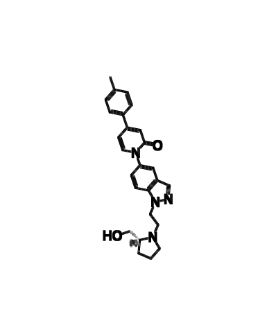 Cc1ccc(-c2ccn(-c3ccc4c(cnn4CCN4CCC[C@@H]4CO)c3)c(=O)c2)cc1